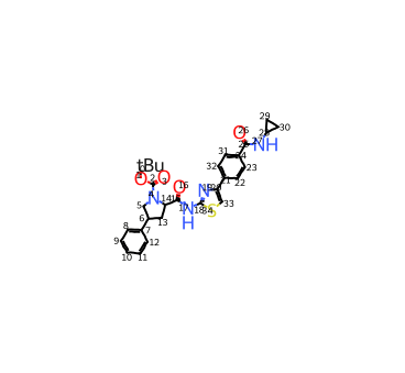 CC(C)(C)OC(=O)N1CC(c2ccccc2)CC1C(=O)Nc1nc(-c2ccc(C(=O)NC3CC3)cc2)cs1